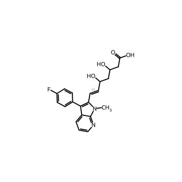 Cn1c(/C=C/C(O)CC(O)CC(=O)O)c(-c2ccc(F)cc2)c2cccnc21